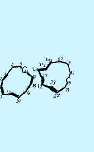 C1=C\C=C\CCCCCC/C=C/1.C1=C\C=C\CCCCCC/C=C/1